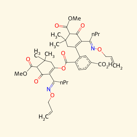 C=CCON=C(CCC)C1=C(OC(=O)c2ccc(C(=O)O)cc2C2=C(C(CCC)=NOCC=C)C(=O)C(C(=O)OC)C(C)(C)C2)CC(C)(C)C(C(=O)OC)C1=O